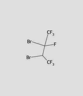 FC(F)(F)C(Br)C(F)(Br)C(F)(F)F